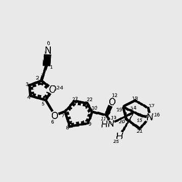 N#Cc1ccc(Oc2ccc(C(=O)N[C@H]3CN4CCC3CC4)cc2)o1